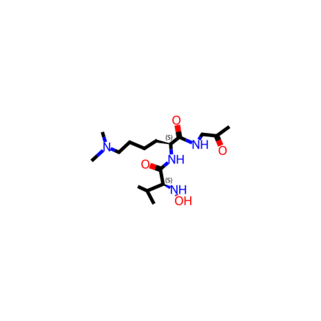 CC(=O)CNC(=O)[C@H](CCCCN(C)C)NC(=O)[C@@H](NO)C(C)C